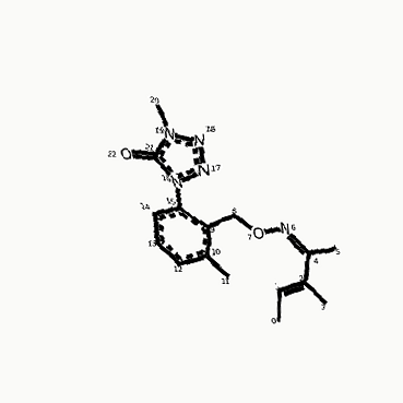 CC=C(C)C(C)=NOCc1c(C)cccc1-n1nnn(C)c1=O